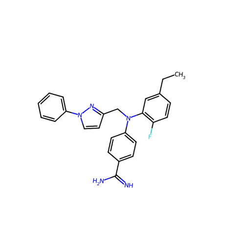 CCc1ccc(F)c(N(Cc2ccn(-c3ccccc3)n2)c2ccc(C(=N)N)cc2)c1